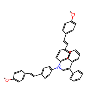 COc1ccc(/C=C/c2ccc(N(C=C(c3ccccc3)c3ccccc3)c3ccc(/C=C/c4ccc(OC)cc4)cc3)cc2)cc1